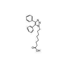 O=C(O)CCCCCCCn1nnc(-c2ccccc2)c1-c1ccccc1